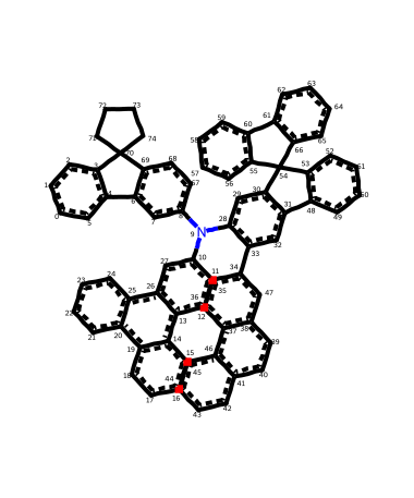 c1ccc2c(c1)-c1cc(N(c3ccc4c5ccccc5c5ccccc5c4c3)c3cc4c(cc3-c3ccc5c(ccc6ccccc65)c3)-c3ccccc3C43c4ccccc4-c4ccccc43)ccc1C21CCCC1